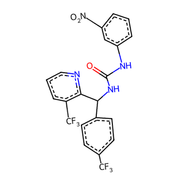 O=C(Nc1cccc([N+](=O)[O-])c1)NC(c1ccc(C(F)(F)F)cc1)c1ncccc1C(F)(F)F